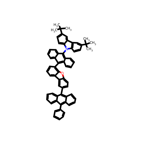 CC(C)(C)c1ccc2c(c1)c1cc(C(C)(C)C)ccc1n2-c1c2ccccc2c(-c2cccc3c2oc2ccc(-c4c5ccccc5c(-c5ccccc5)c5ccccc45)cc23)c2ccccc12